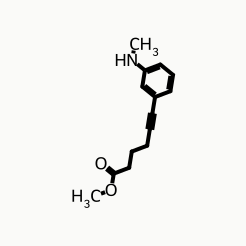 CNc1cccc(C#CCCCC(=O)OC)c1